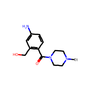 CCN1CCN(C(=O)c2ccc(N)cc2CO)CC1